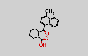 Cc1ccc(C(=O)C2CCCCC2C(=O)O)c2ccccc12